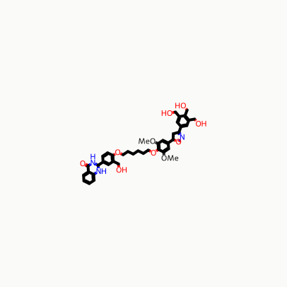 COc1cc(C2CC(c3cc(CO)c(CO)c(CO)c3)=NO2)cc(OC)c1OCCCCCCOc1ccc(C2NC(=O)c3ccccc3N2)cc1CO